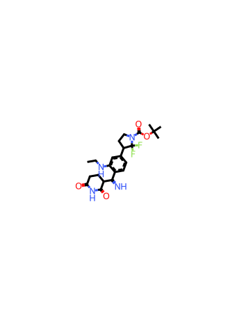 CCNc1cc(C2CCN(C(=O)OC(C)(C)C)C2(F)F)ccc1C(=N)C1CCC(=O)NC1=O